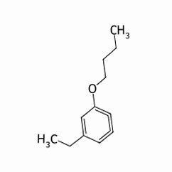 CCCCOC1=C=C=CC(CC)=C1